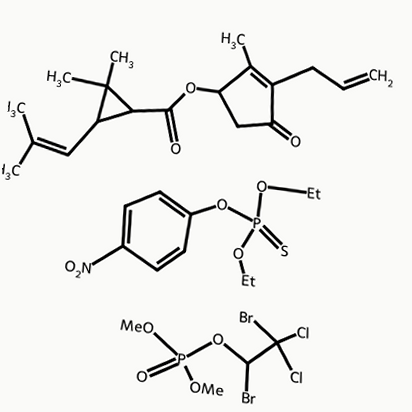 C=CCC1=C(C)C(OC(=O)C2C(C=C(C)C)C2(C)C)CC1=O.CCOP(=S)(OCC)Oc1ccc([N+](=O)[O-])cc1.COP(=O)(OC)OC(Br)C(Cl)(Cl)Br